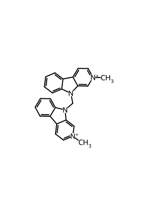 C[n+]1ccc2c3ccccc3n(Cn3c4ccccc4c4cc[n+](C)cc43)c2c1